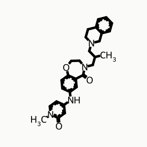 CC(CN1CCc2ccccc2C1)CN1CCOc2ccc(Nc3ccn(C)c(=O)c3)cc2C1=O